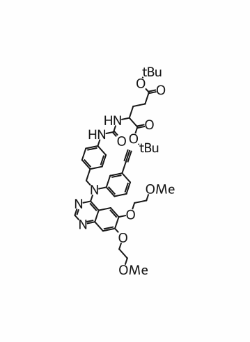 C#Cc1cccc(N(Cc2ccc(NC(=O)NC(CCC(=O)OC(C)(C)C)C(=O)OC(C)(C)C)cc2)c2ncnc3cc(OCCOC)c(OCCOC)cc23)c1